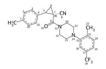 Cc1ccc(C2C[C@@]2(C#N)C(=O)N2CCN(c3cc(C(F)(F)F)ccc3C)CC2)cc1